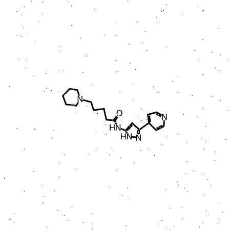 O=C(CCCCN1CCCCC1)Nc1cc(-c2ccncc2)n[nH]1